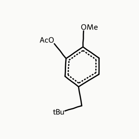 COc1ccc(CC(C)(C)C)cc1OC(C)=O